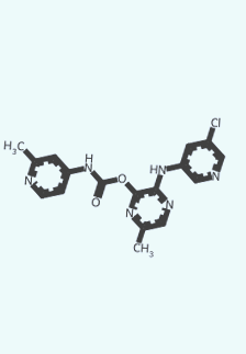 Cc1cc(NC(=O)Oc2nc(C)cnc2Nc2cncc(Cl)c2)ccn1